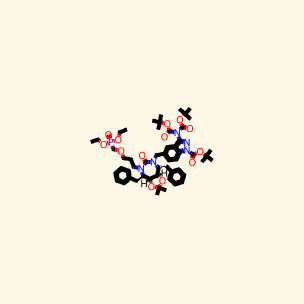 CCOP(=O)(COCCCN1C(=O)N(Cc2ccc3c(c2)c(N(C(=O)OC(C)(C)C)C(=O)OC(C)(C)C)nn3C(=O)OC(C)(C)C)[C@H](Cc2ccccc2)[C@@H]2OC(C)(C)O[C@H]2[C@H]1Cc1ccccc1)OCC